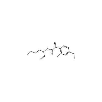 C=CC(CCCC)CNC(=C)c1ccc(CC)cc1C